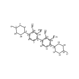 CC1CCC(c2ccc(-c3ccc(C4CCC(C)CC4)c(F)c3F)c(F)c2F)CC1